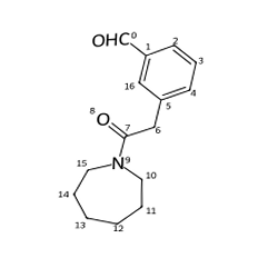 O=Cc1cccc(CC(=O)N2CCCCCC2)c1